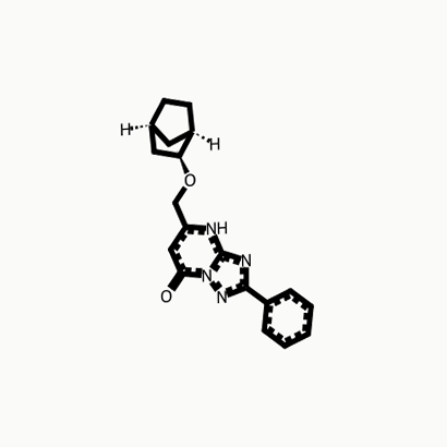 O=c1cc(CO[C@H]2C[C@H]3CC[C@@H]2C3)[nH]c2nc(-c3ccccc3)nn12